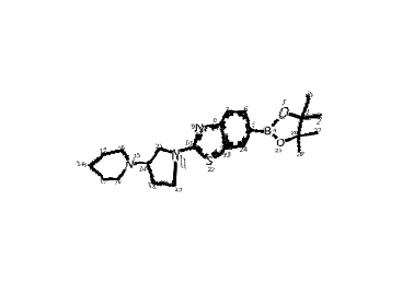 CC1(C)OB(c2ccc3nc(N4CC[C@@H](N5CCCCC5)C4)sc3c2)OC1(C)C